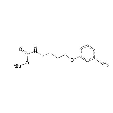 CC(C)(C)OC(=O)NCCCCOc1cccc(N)c1